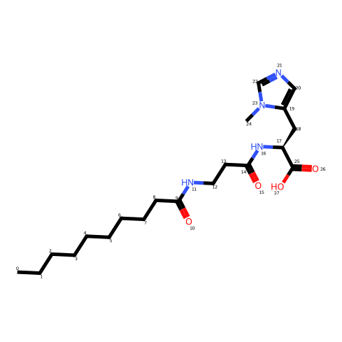 CCCCCCCCCC(=O)NCCC(=O)N[C@@H](Cc1cncn1C)C(=O)O